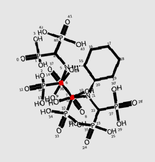 O=P(O)(O)C(N(C(P(=O)(O)O)P(=O)(O)O)[C@@H]1CCCC[C@H]1N(C(P(=O)(O)O)P(=O)(O)O)C(P(=O)(O)O)P(=O)(O)O)P(=O)(O)O